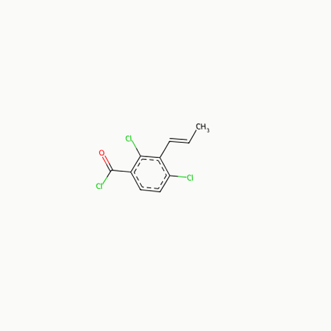 CC=Cc1c(Cl)ccc(C(=O)Cl)c1Cl